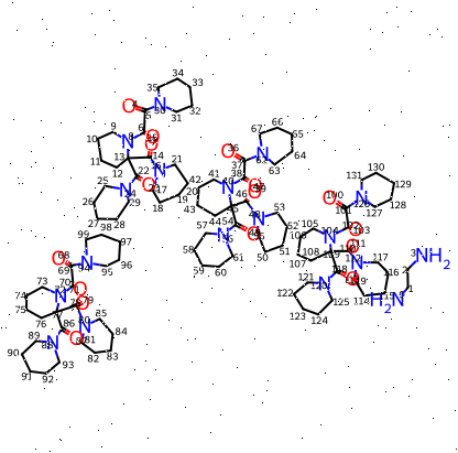 NCCN.O=C(C(=O)N1CCCCC1(C(=O)N1CCCCC1)C(=O)N1CCCCC1)N1CCCCC1.O=C(C(=O)N1CCCCC1(C(=O)N1CCCCC1)C(=O)N1CCCCC1)N1CCCCC1.O=C(C(=O)N1CCCCC1(C(=O)N1CCCCC1)C(=O)N1CCCCC1)N1CCCCC1.O=C(C(=O)N1CCCCC1(C(=O)N1CCCCC1)C(=O)N1CCCCC1)N1CCCCC1